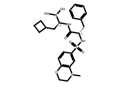 CN1CCOc2ccc(S(=O)(=O)N[C@@H](Cc3ccccc3)C(=O)N[C@@H](CC3CCC3)B(O)O)cc21